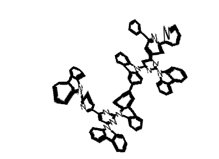 c1ccc(-c2cc(-c3cc(-n4c5ccccc5c5cc(-c6ccc7c(c6)c6ccccc6n7-c6nc(-c7ccc(-n8c9ccccc9c9ccccc98)nc7)cc(-n7c8ccccc8c8ccccc87)n6)ccc54)nc(-n4c5ccccc5c5ccccc54)n3)cc(-c3ccccn3)n2)cc1